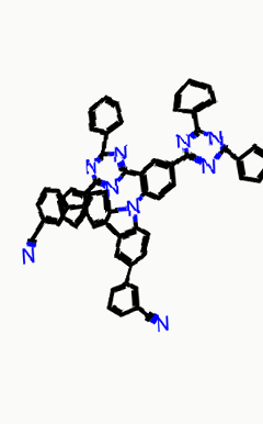 N#Cc1cccc(-c2ccc3c(c2)c2cc(-c4cccc(C#N)c4)ccc2n3-c2ccc(-c3nc(-c4ccccc4)nc(-c4ccccc4)n3)cc2-c2nc(-c3ccccc3)nc(-c3ccccc3)n2)c1